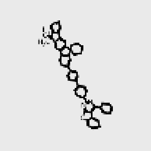 CC1(C)c2ccccc2-c2cc3c(cc21)C1=C(C=C(c2ccc(C4=CCC(c5nc(-c6ccccc6)c6c(n5)oc5ccccc56)C=C4)cc2)CC1)C31CCCCC1